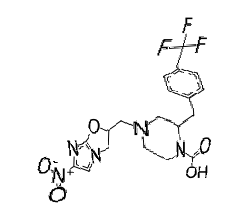 O=C(O)N1CCN(CC2Cn3cc([N+](=O)[O-])nc3O2)CC1Cc1ccc(C(F)(F)F)cc1